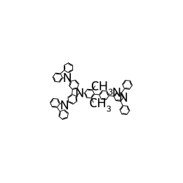 Cc1cc(-n2c3ccc(-n4c5ccccc5c5ccccc54)cc3c3cc(-n4c5ccccc5c5ccccc54)ccc32)cc(C)c1-c1ccc(-c2cc(-c3ccccc3)nc(-c3ccccc3)n2)cc1